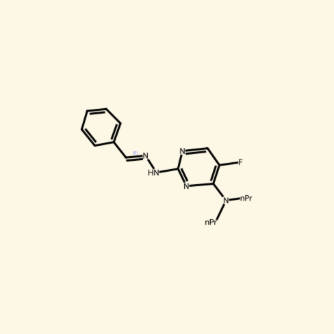 CCCN(CCC)c1nc(N/N=C/c2ccccc2)ncc1F